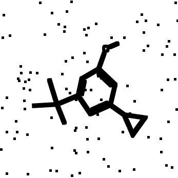 COc1cc(C2CC2)cc(C(C)(C)C)c1